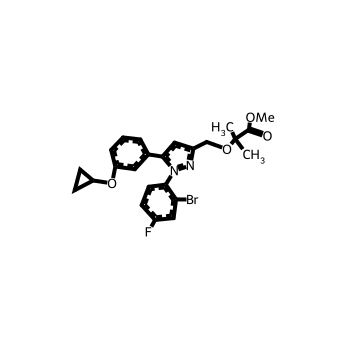 COC(=O)C(C)(C)OCc1cc(-c2cccc(OC3CC3)c2)n(-c2ccc(F)cc2Br)n1